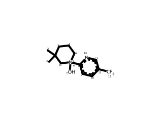 CC1(C)CCC[N+](O)(c2ccc(C(F)(F)F)cn2)C1